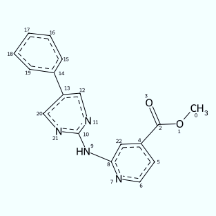 COC(=O)c1ccnc(Nc2ncc(-c3ccccc3)cn2)c1